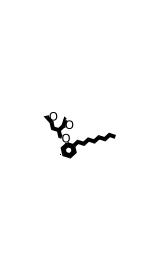 CCCCCCCCc1cc[c]cc1OCC(CC1CO1)C1CO1